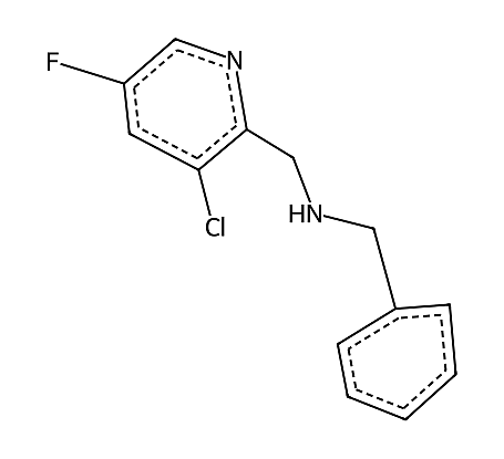 Fc1cnc(CNCc2ccccc2)c(Cl)c1